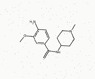 C=C(NC1CCN(C)CC1)c1ccc(N)c(OC)c1